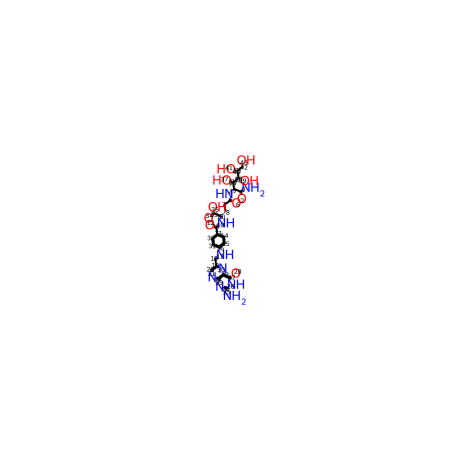 NC(=O)C(NC(=O)CC[C@H](NC(=O)c1ccc(NCc2cnc3nc(N)[nH]c(=O)c3n2)cc1)C(=O)O)[C@@H](O)[C@H](O)[C@H](O)CO